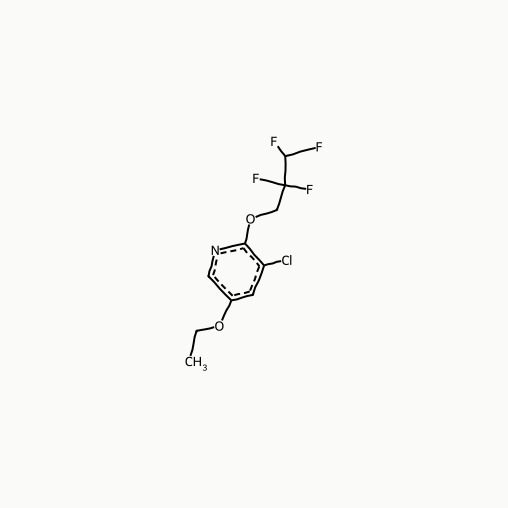 CCOc1cnc(OCC(F)(F)C(F)F)c(Cl)c1